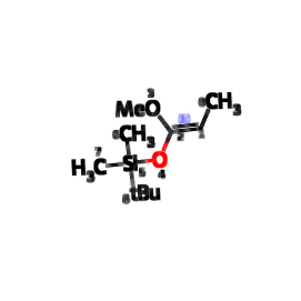 C/C=C(\OC)O[Si](C)(C)C(C)(C)C